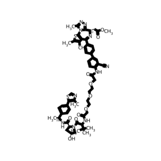 COC(=O)C[C@@H]1N=C(c2ccc(-c3ccc(NC(=O)COCCOCCOCC(=O)NC(C(=O)N4C[C@H](O)C[C@H]4C(=O)N[C@@H](C)c4ccc(-c5scnc5C)cc4)C(C)(C)C)c(C#N)c3)cc2)c2c(sc(C)c2C)-n2c(C)nnc21